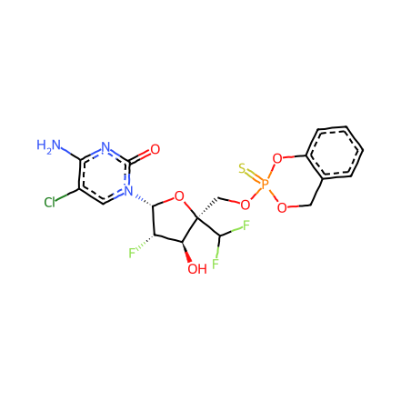 Nc1nc(=O)n([C@@H]2O[C@@](COP3(=S)OCc4ccccc4O3)(C(F)F)[C@@H](O)[C@@H]2F)cc1Cl